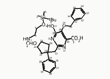 CC(C)(C)[Si](C)(C)OCCNC=O.O=C(O)c1nc(CC2(c3ccccc3)CCCC2)nc(O)c1OCc1ccccc1